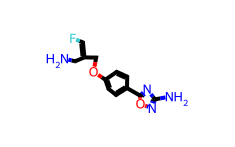 NC/C(=C\F)COc1ccc(-c2nc(N)no2)cc1